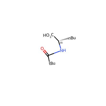 CCCC[C@H](NC(=O)C(C)(C)C)C(=O)O